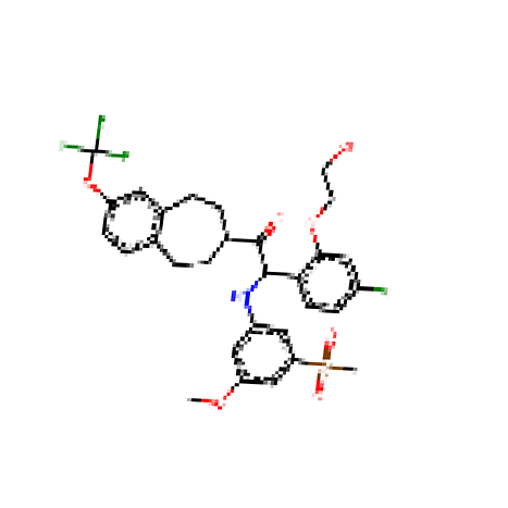 COc1cc(NC(C(=O)C2CCc3ccc(OC(F)(F)F)cc3CC2)c2ccc(F)cc2OCCO)cc(S(C)(=O)=O)c1